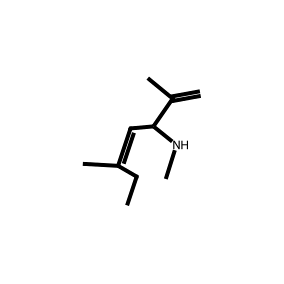 C=C(C)C(C=C(C)CC)NC